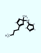 CCCCC1=C[C](C)([Hf][C]2=CC=CC2)C=C1